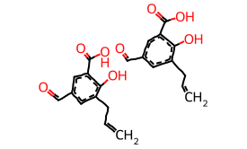 C=CCc1cc(C=O)cc(C(=O)O)c1O.C=CCc1cc(C=O)cc(C(=O)O)c1O